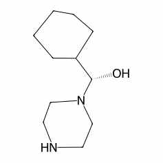 O[C@@H](C1CCCCC1)N1CCNCC1